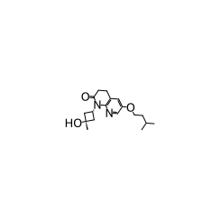 CC(C)CCOc1cnc2c(c1)CCC(=O)N2[C@H]1C[C@@](C)(O)C1